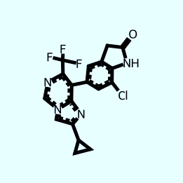 O=C1Cc2cc(-c3c(C(F)(F)F)ncn4cc(C5CC5)nc34)cc(Cl)c2N1